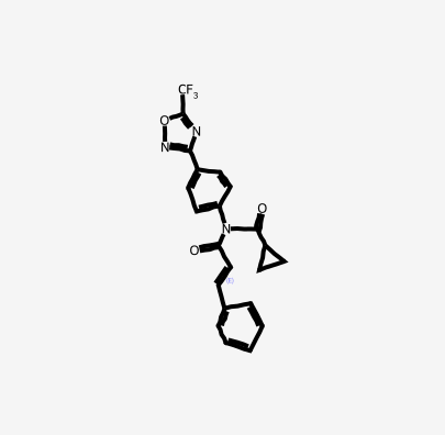 O=C(/C=C/c1ccccc1)N(C(=O)C1CC1)c1ccc(-c2noc(C(F)(F)F)n2)cc1